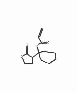 C=CC(=O)OC1(C2CCOC2=O)CCCCC1